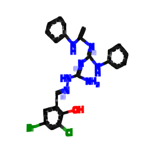 C=C(/N=C(\N=C(/N)N/N=C/c1cc(Br)cc(Cl)c1O)Nc1ccccc1)Nc1ccccc1